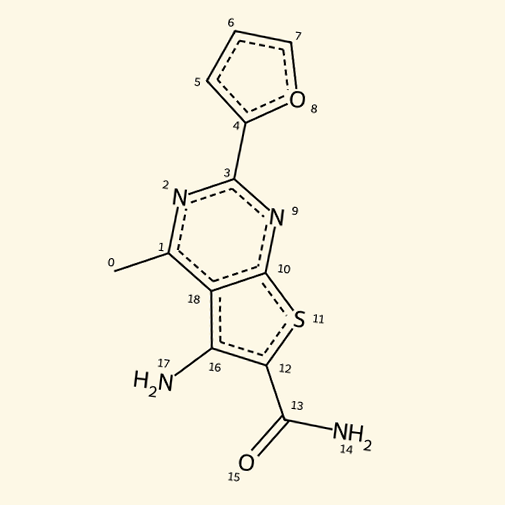 Cc1nc(-c2ccco2)nc2sc(C(N)=O)c(N)c12